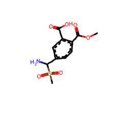 COC(=O)c1ccc(C(N)S(C)(=O)=O)cc1C(=O)O